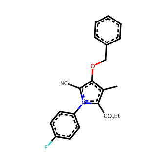 CCOC(=O)c1c(C)c(OCc2ccccc2)c(C#N)n1-c1ccc(F)cc1